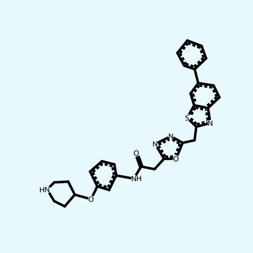 O=C(Cc1nnc(Cc2nc3ccc(-c4ccccc4)cc3s2)o1)Nc1cccc(OC2CCNCC2)c1